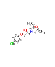 CC1CN(CC(O)COc2ccc(Cl)cc2)CC(C)O1